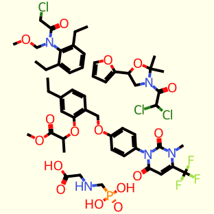 CC1(C)OC(c2ccco2)CN1C(=O)C(Cl)Cl.CCc1ccc(COc2ccc(-n3c(=O)cc(C(F)(F)F)n(C)c3=O)cc2)c(OC(C)C(=O)OC)c1.CCc1cccc(CC)c1N(COC)C(=O)CCl.O=C(O)CNCP(=O)(O)O